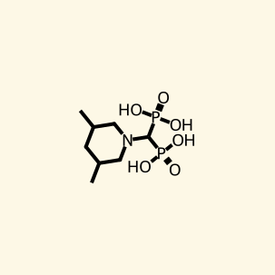 CC1CC(C)CN(C(P(=O)(O)O)P(=O)(O)O)C1